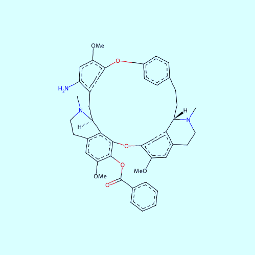 COc1cc(N)c2cc1Oc1ccc(cc1)CC[C@H]1c3cc(c(OC)cc3CCN1C)Oc1c(OC(=O)c3ccccc3)c(OC)cc3c1[C@H](C2)N(C)CC3